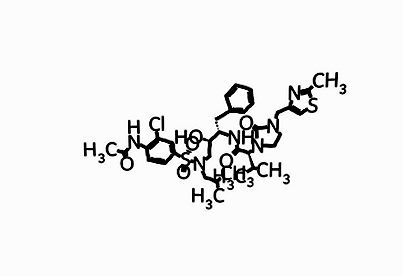 CC(=O)Nc1ccc(S(=O)(=O)N(CC(C)C)C[C@@H](O)[C@H](Cc2ccccc2)NC(=O)[C@H](C(C)C)N2CCN(Cc3csc(C)n3)C2=O)cc1Cl